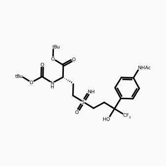 CC(=O)Nc1ccc(C(O)(CCS(=N)(=O)CC[C@H](NC(=O)OC(C)(C)C)C(=O)OC(C)(C)C)C(F)(F)F)cc1